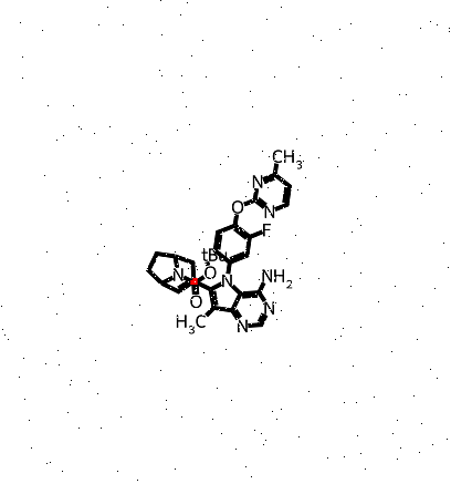 Cc1ccnc(Oc2ccc(-n3c(C4=CC5CCC(C4)N5C(=O)OC(C)(C)C)c(C)c4ncnc(N)c43)cc2F)n1